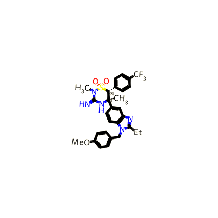 CCc1nc2cc([C@@]3(C)NC(=N)N(C)S(=O)(=O)[C@@H]3c3ccc(C(F)(F)F)cc3)ccc2n1Cc1ccc(OC)cc1